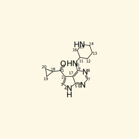 O=C(c1c[nH]c2ncnc(NC3CCCNC3)c12)C1CC1